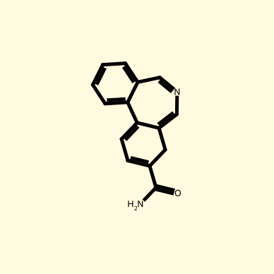 NC(=O)C1=CC=C2C(=CN=Cc3ccccc32)C1